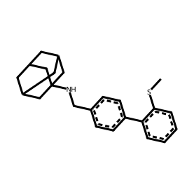 CSc1ccccc1-c1ccc(CNC23CC4CC(CC(C4)C2)C3)cc1